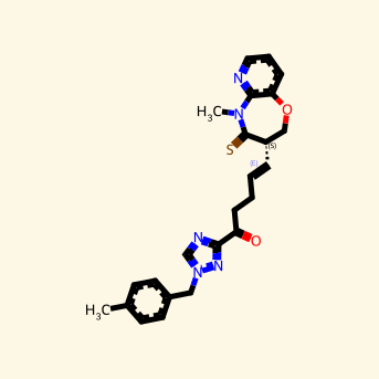 Cc1ccc(Cn2cnc(C(=O)CC/C=C/[C@H]3COc4cccnc4N(C)C3=S)n2)cc1